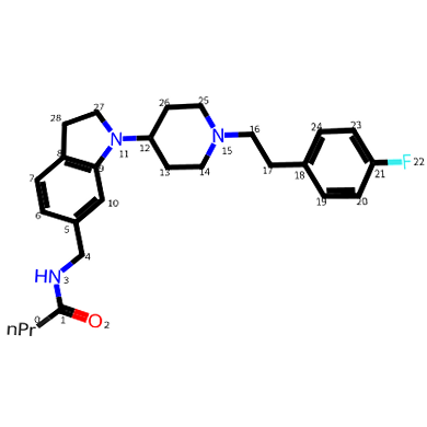 CCCC(=O)NCc1ccc2c(c1)N(C1CCN(CCc3ccc(F)cc3)CC1)CC2